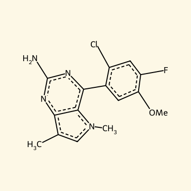 COc1cc(-c2nc(N)nc3c(C)cn(C)c23)c(Cl)cc1F